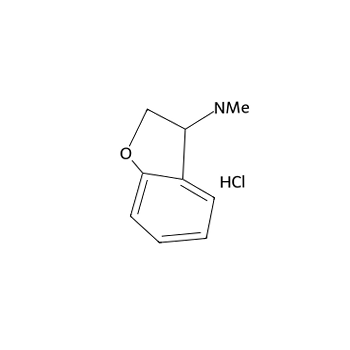 CNC1COc2ccccc21.Cl